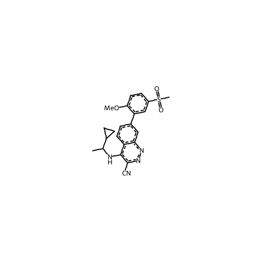 COc1ccc(S(C)(=O)=O)cc1-c1ccc2c(NC(C)C3CC3)c(C#N)nnc2c1